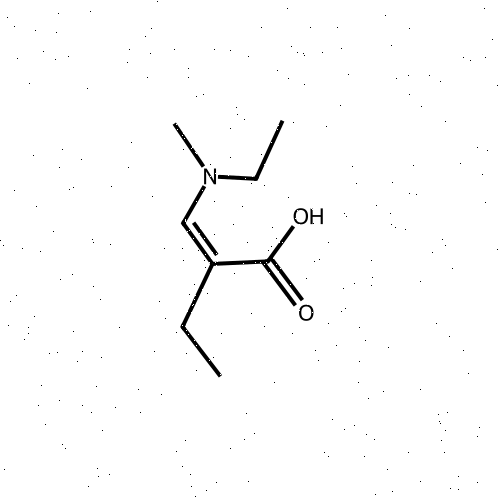 CCC(=CN(C)CC)C(=O)O